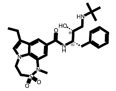 CCc1cn2c3c(cc(C(=O)N[C@@H](Cc4ccccc4)[C@H](O)CNC(C)(C)C)cc13)N(C)S(=O)(=O)CC2